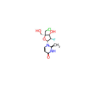 C=C1NC(=O)C=CN1[C@@H]1O[C@@](CO)(CCl)[C@@H](O)[C@H]1F